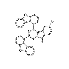 Brc1ccc2[nH]c3nc(-c4cccc5oc6ccccc6c45)nc(-c4cccc5oc6ccccc6c45)c3c2c1